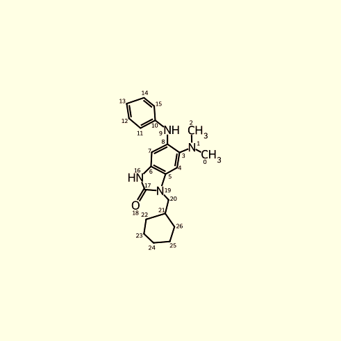 CN(C)c1cc2c(cc1Nc1ccccc1)[nH]c(=O)n2CC1CCCCC1